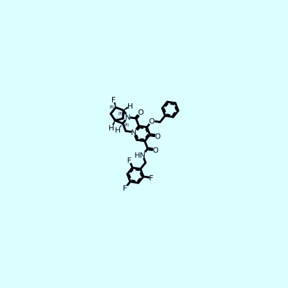 O=C(NCc1c(F)cc(F)cc1F)c1cn2c(c(OCc3ccccc3)c1=O)C(=O)N1[C@@H]3C[C@@H](C[C@H]3F)[C@@H]1C2